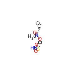 CN(CCOc1ccc(CC2SC(=O)NC2=O)cc1)C(=O)CCC[C@H]1CCC2CCCCC2C1